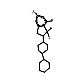 Cc1cc(F)c2c(c1)CC(C1CCC(C3CCCCC3)CC1)C2(F)F